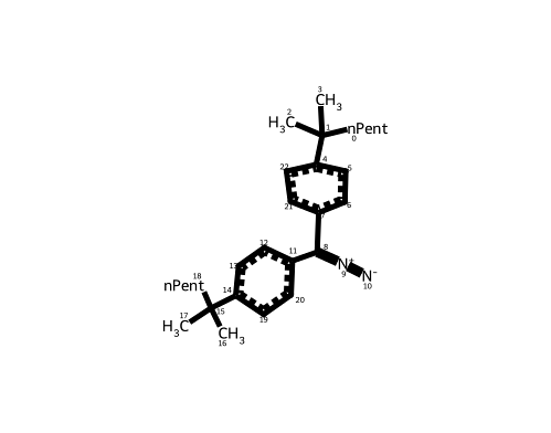 CCCCCC(C)(C)c1ccc(C(=[N+]=[N-])c2ccc(C(C)(C)CCCCC)cc2)cc1